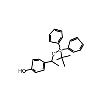 CC(O[Si](c1ccccc1)(c1ccccc1)C(C)(C)C)c1ccc(O)cc1